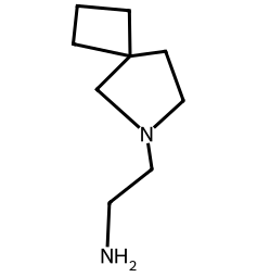 NCCN1CCC2(CCC2)C1